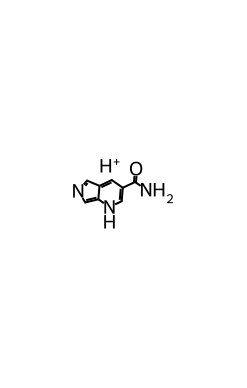 NC(=O)c1c[nH]c2cncc-2c1.[H+]